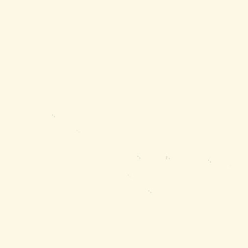 COCCN1CCN(c2ccc(-c3nc4c(NC5CCN(C)CC5)c(Cl)cnc4[nH]3)cc2F)CC1